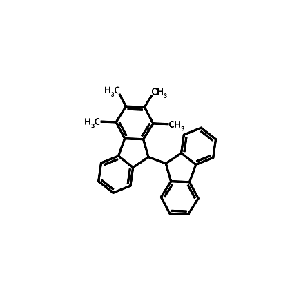 Cc1c(C)c(C)c2c(c1C)-c1ccccc1C2C1c2ccccc2-c2ccccc21